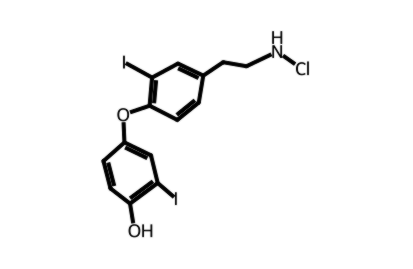 Oc1ccc(Oc2ccc(CCNCl)cc2I)cc1I